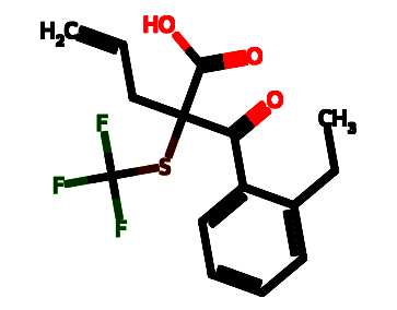 C=CCC(SC(F)(F)F)(C(=O)O)C(=O)c1ccccc1CC